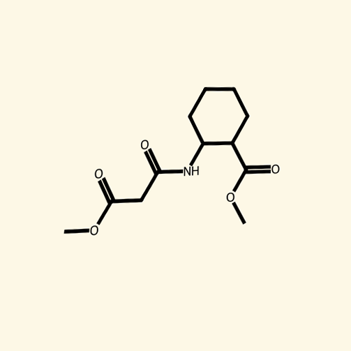 COC(=O)CC(=O)NC1CCCCC1C(=O)OC